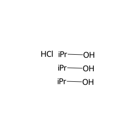 CC(C)O.CC(C)O.CC(C)O.Cl